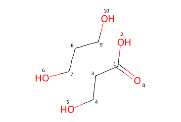 O=C(O)CCO.OCCCO